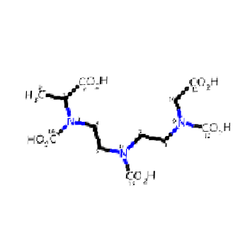 CC(C(=O)O)N(CCN(CCN(CC(=O)O)C(=O)O)C(=O)O)C(=O)O